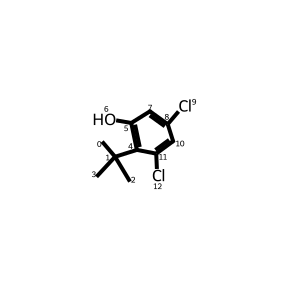 CC(C)(C)c1c(O)cc(Cl)cc1Cl